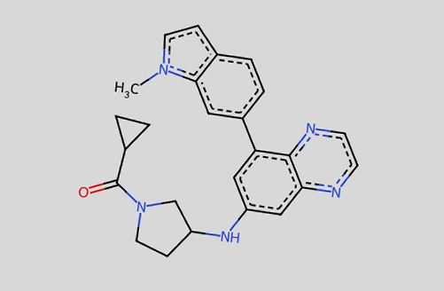 Cn1ccc2ccc(-c3cc(NC4CCN(C(=O)C5CC5)C4)cc4nccnc34)cc21